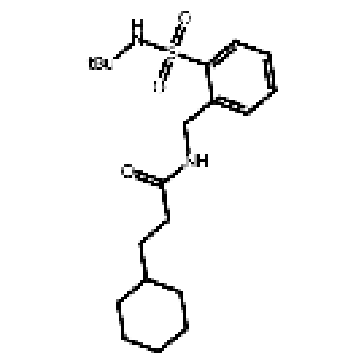 CC(C)(C)NS(=O)(=O)c1ccccc1CNC(=O)CCC1CCCCC1